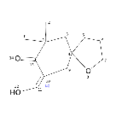 CC1(C)CC2(CCCO2)C/C(=C/O)C1=O